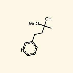 COC(C)(O)CCc1cccnc1